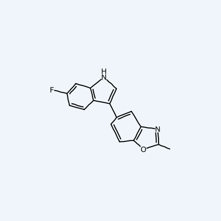 Cc1nc2cc(-c3c[nH]c4cc(F)ccc34)ccc2o1